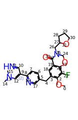 COc1c(Cc2ccc(/C(C=N)=C/N(C)C)nc2)cc2c(c1F)OCN(CC1CCCO1)C2=O